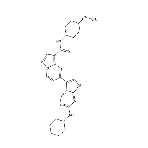 CO[C@H]1CC[C@H](NC(=O)c2cnn3ccc(-c4c[nH]c5nc(NC6CCCCC6)ncc45)cc23)CC1